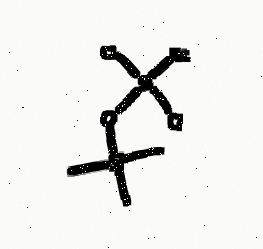 CC[Si](Cl)(Cl)O[Si](C)(C)C